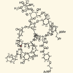 CN[C@H](CC(C)C)C(=O)N[C@H]1C(=O)N[C@@H](CC(=O)NC(=O)Nc2ccc(OCCNC(C)=O)cc2)C(=O)N[C@H]2C(=O)N[C@H]3C(=O)N[C@H](C(=O)N[C@H](C(=O)NC4C5CC6CC(C5)CC4C6)c4cc(O)cc(O)c4-c4cc3ccc4O)[C@H](O)c3ccc(c(Cl)c3)Oc3cc2cc(c3O[C@@H]2O[C@H](CO)[C@@H](O)[C@H](O)[C@H]2O[C@H]2C[C@](C)(N)[C@H](O)[C@H](C)O2)Oc2ccc(cc2C)[C@H]1O